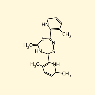 C=C1NC(C2=C(C)C=CC(C)N2)SN=C(C2=C(C)C=CCN2)S1